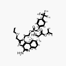 CCOCc1nc2c(N)nc3ccccc3c2n1C[C@@H](C)O[P@@](=O)(N[C@@H](C)C(=O)OC(C)C)Oc1ccc(C(F)(F)F)cc1